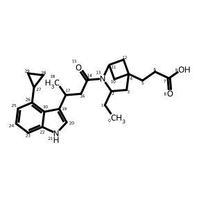 CCC1CC2(CCC(=O)O)CC(C2)N1C(=O)CC(C)c1c[nH]c2cccc(C3CC3)c12